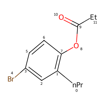 CCCc1cc(Br)ccc1OC(=O)CC